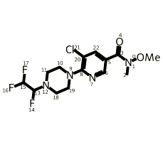 CON(C)C(=O)c1cnc(N2CCN(C(F)C(F)F)CC2)c(Cl)c1